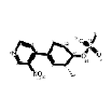 C[C@@H]1C=C(c2ccncc2[N+](=O)[O-])CC[C@H]1OS(C)(=O)=O